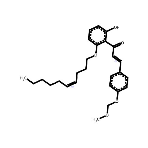 CCCCC/C=C\CCCOc1cccc(O)c1C(=O)/C=C/c1ccc(OCOC)cc1